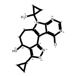 CC1(n2c3c(c4c(Cl)ncnc42)-c2noc(C4CC4)c2C(O)CC3)CC1